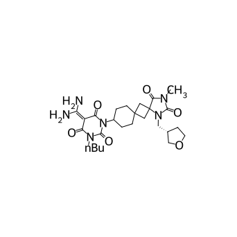 CCCCN1C(=O)C(=C(N)N)C(=O)N(C2CCC3(CC2)CC2(C3)C(=O)N(C)C(=O)N2C[C@@H]2CCOC2)C1=O